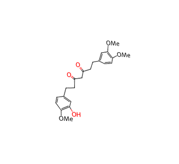 COc1ccc(CCC(=O)CC(=O)CCc2ccc(OC)c(OC)c2)cc1O